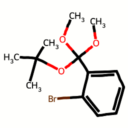 COC(OC)(OC(C)(C)C)c1ccccc1Br